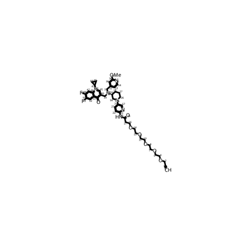 C#CCOCCOCCOCCOCCOCCC(=O)Nc1ccc(N2CCC[C@H](N(Cc3ccnc(OC)c3)Cc3cn(C4CC4)c4cc(F)c(F)cc4c3=O)C2)cn1